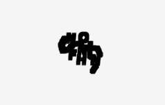 CCN1CCC(C)(NC(=O)c2ncccc2F)C1